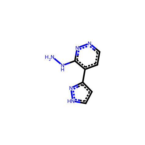 NNc1nnccc1-c1cc[nH]n1